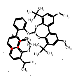 COc1cc(C(C)(C)C)c2op(Oc3ccccc3-c3ccccc3OPOc3c(C(C)C)cccc3C(C)C)oc3c(C(C)(C)C)cc(OC)cc3c2c1